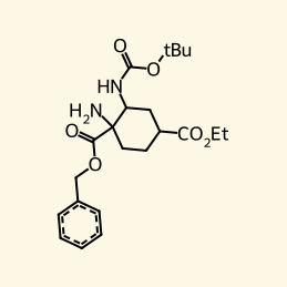 CCOC(=O)C1CCC(N)(C(=O)OCc2ccccc2)C(NC(=O)OC(C)(C)C)C1